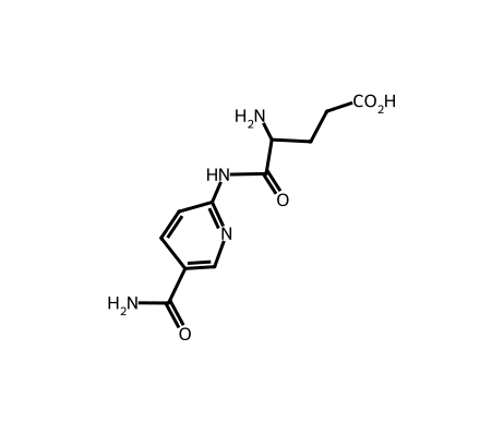 NC(=O)c1ccc(NC(=O)C(N)CCC(=O)O)nc1